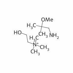 COC(C)(C)CN.C[N+](C)(C)CCO